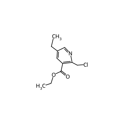 CCOC(=O)c1cc(CC)cnc1CCl